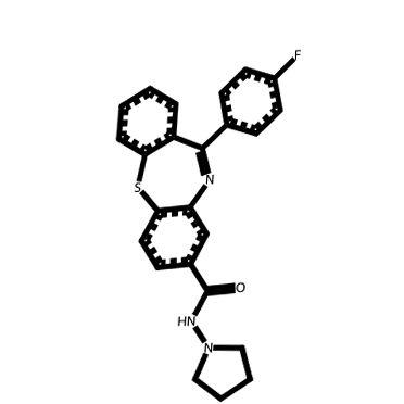 O=C(NN1CCCC1)c1ccc2c(c1)N=C(c1ccc(F)cc1)c1ccccc1S2